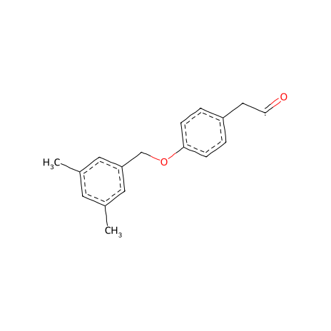 Cc1cc(C)cc(COc2ccc(C[C]=O)cc2)c1